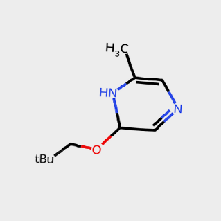 CC1=CN=CC(OCC(C)(C)C)N1